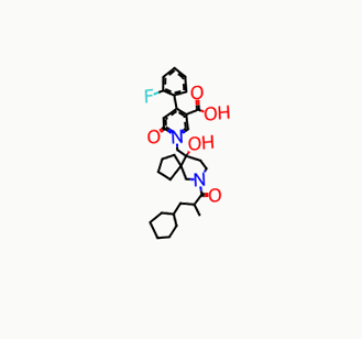 CC(CC1CCCCC1)C(=O)N1CC[C@@](O)(Cn2cc(C(=O)O)c(-c3ccccc3F)cc2=O)C2(CCCC2)C1